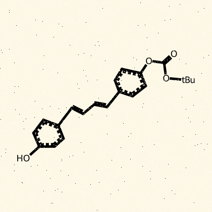 CC(C)(C)OC(=O)Oc1ccc(C=CC=Cc2ccc(O)cc2)cc1